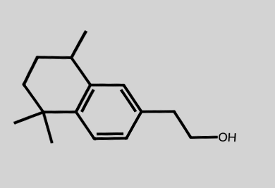 CC1CCC(C)(C)c2ccc(CCO)cc21